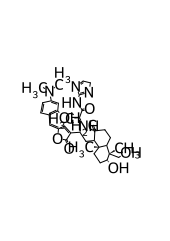 C=C1CCC2[C@](C)(CC[C@@H](O)[C@@]2(C)CO)C1CC(NC(C)C(=O)NC1=NCC=N1)C1=C/C(=C\c2ccc(N(C)C)cc2O)OC1=O